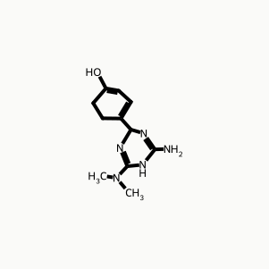 CN(C)C1=NC(C2=CC=C(O)CC2)N=C(N)N1